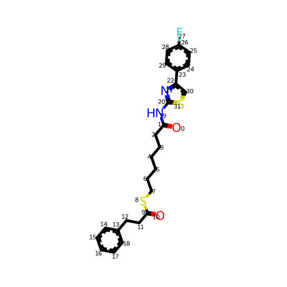 O=C(CCCCCCSC(=O)CCc1ccccc1)Nc1nc(-c2ccc(F)cc2)cs1